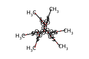 CCCCCCCCCCSSCCOC(=O)CCN(CCOC(=O)c1cc(C(=O)OCCN(CCC(=O)OCCSSCCCCCCCCCC)CCC(=O)OCCSSCCCCCCCCCC)cc(C(=O)OCCN(CCC(=O)OCCSSCCCCCCCCCC)CCC(=O)OCCSSCCCCCCCCCC)c1)CCC(=O)OCCSSCCCCCCCCCC